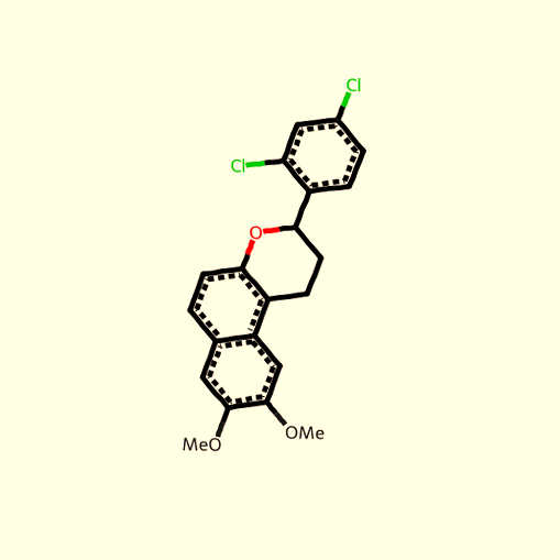 COc1cc2ccc3c(c2cc1OC)CCC(c1ccc(Cl)cc1Cl)O3